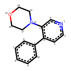 [c]1nccc(-c2ccccc2)c1N1CCOCC1